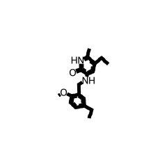 CCc1ccc(OC)c(CNc2cc(CC)c(C)[nH]c2=O)c1